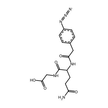 [N-]=[N+]=Nc1ccc(CC(=O)NC(CCC(N)=O)C(=O)NCC(=O)O)cc1